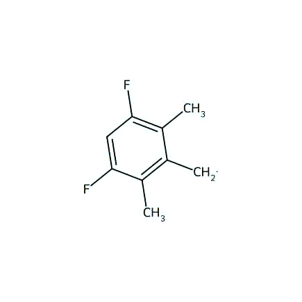 [CH2]c1c(C)c(F)cc(F)c1C